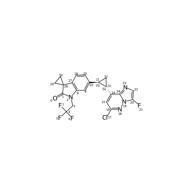 O=C1N(CC(F)(F)F)c2cc([C@H]3C[C@@H]3c3cc(Cl)nn4c(F)cnc34)ccc2C12CC2